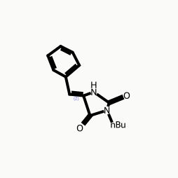 CCCCN1C(=O)N/C(=C\c2ccccc2)C1=O